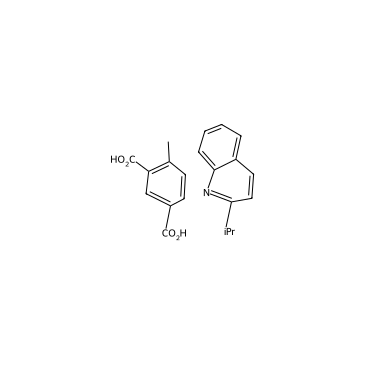 CC(C)c1ccc2ccccc2n1.Cc1ccc(C(=O)O)cc1C(=O)O